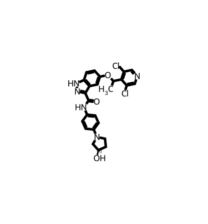 CC(Oc1ccc2[nH]nc(C(=O)Nc3ccc(N4CC[C@@H](O)C4)cc3)c2c1)c1c(Cl)cncc1Cl